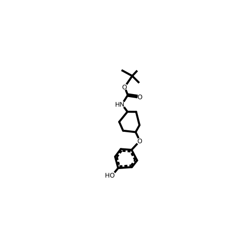 CC(C)(C)OC(=O)NC1CCC(Oc2ccc(O)cc2)CC1